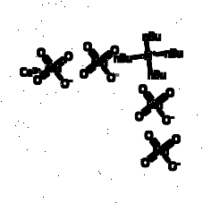 CCCC[N+](CCCC)(CCCC)CCCC.[Ce+3].[O]=[Mn](=[O])(=[O])[O-].[O]=[Mn](=[O])(=[O])[O-].[O]=[Mn](=[O])(=[O])[O-].[O]=[Mn](=[O])(=[O])[O-]